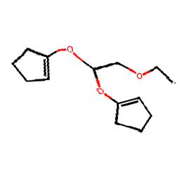 [CH2]COCC(OC1=CCCC1)OC1=CCCC1